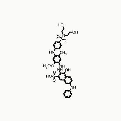 COc1cc(Nc2ccc(S(=O)(=O)N(CCO)CCO)cc2)c(C)cc1NNc1c(S(=O)(=O)O)cc2cc(Nc3ccccc3)ccc2c1O